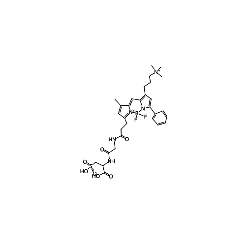 CC1=CC(CCC(=O)NCC(=O)NC(CS(=O)(=O)O)C(=O)O)=[N+]2C1=Cc1c(CCC[N+](C)(C)C)cc(-c3ccccc3)n1[B-]2(F)F